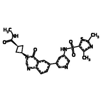 CNC(=O)[C@H]1C[C@@H](n2cnc3ccc(-c4cncc(NS(=O)(=O)c5sc(C)nc5C)c4)cc3c2=O)C1